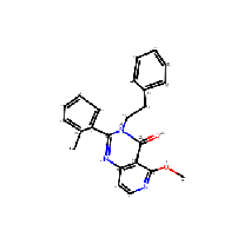 COc1nccc2nc(-c3ccccc3C)n(CCc3ccccc3)c(=O)c12